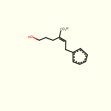 O=C(O)C(=CCc1ccccc1)CCCO